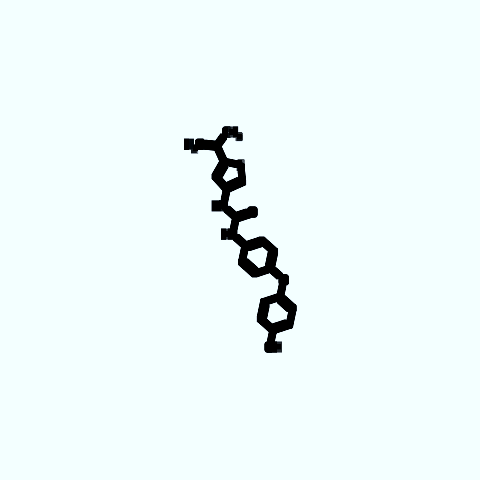 C=C(C)c1cc(NC(=O)Nc2ccc(Oc3ccc(O)cc3)cc2)cs1